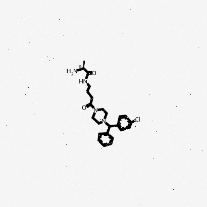 C[C@H](N)C(=O)NCCCC(=O)N1CCN(C(c2ccccc2)c2ccc(Cl)cc2)CC1